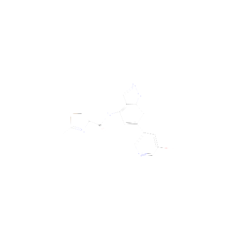 Cc1nc(C(=O)NC2=C3C=NNC3CC(c3cncc(O)c3)=C2)cs1